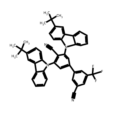 CC(C)(C)c1ccc2c(c1)c1ccccc1n2-c1cc(-c2cc(C#N)cc(C(F)(F)F)c2)cc(-n2c3ccccc3c3cc(C(C)(C)C)ccc32)c1C#N